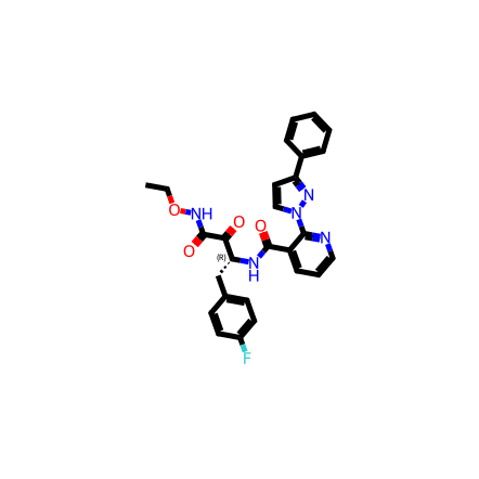 CCONC(=O)C(=O)[C@@H](Cc1ccc(F)cc1)NC(=O)c1cccnc1-n1ccc(-c2ccccc2)n1